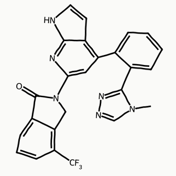 Cn1cnnc1-c1ccccc1-c1cc(N2Cc3c(cccc3C(F)(F)F)C2=O)nc2[nH]ccc12